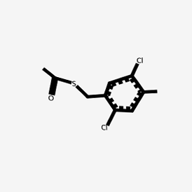 CC(=O)SCc1cc(Cl)c(C)cc1Cl